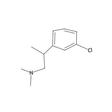 CC(CN(C)C)c1cccc(Cl)c1